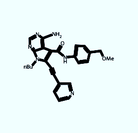 CCCCn1c(C#Cc2cccnc2)c(C(=O)Nc2ccc(COC)cc2)c2c(N)ncnc21